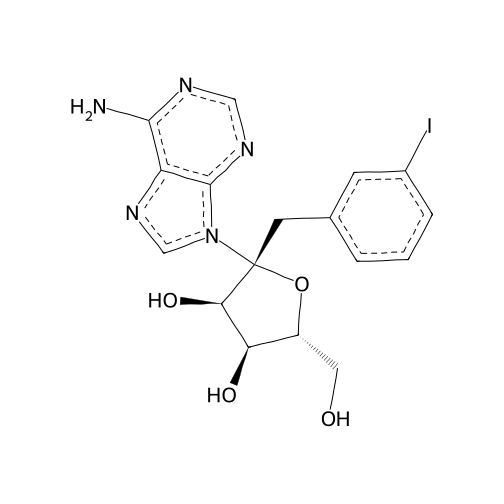 Nc1ncnc2c1ncn2[C@]1(Cc2cccc(I)c2)O[C@H](CO)[C@@H](O)[C@H]1O